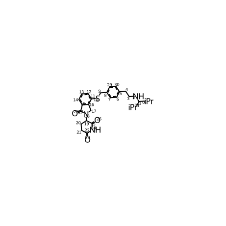 CC(C)C(NCCc1ccc(CSc2cccc3c2CN(C2CCC(=O)NC2=O)C3=O)cc1)C(C)C